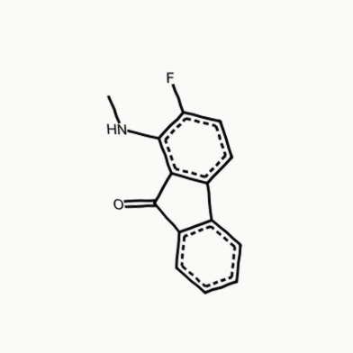 CNc1c(F)ccc2c1C(=O)c1ccccc1-2